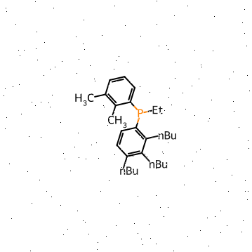 CCCCc1ccc(P(CC)c2cccc(C)c2C)c(CCCC)c1CCCC